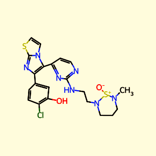 CN1CCCN(CCNc2nccc(-c3c(-c4ccc(Cl)c(O)c4)nc4sccn34)n2)[S+]1[O-]